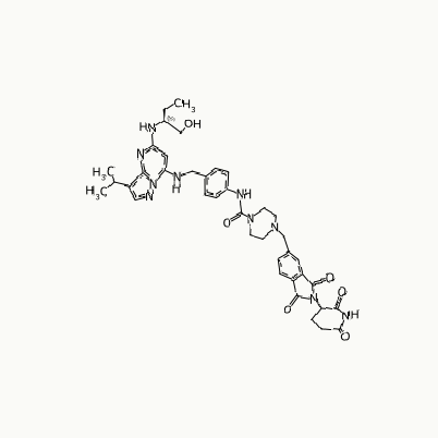 CC[C@@H](CO)Nc1cc(NCc2ccc(NC(=O)N3CCN(Cc4ccc5c(c4)C(=O)N(C4CCC(=O)NC4=O)C5=O)CC3)cc2)n2ncc(C(C)C)c2n1